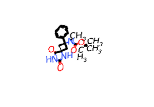 CN(C(=O)OC(C)(C)C)[C@]1(c2ccccc2)C[C@@]2(C1)NC(=O)NC2=O